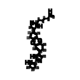 CNCCCCC1=NCC(c2ccc3c(c2)Oc2ccc(-c4cnc([C@@H]5CCCN5)[nH]4)cc2O3)N1